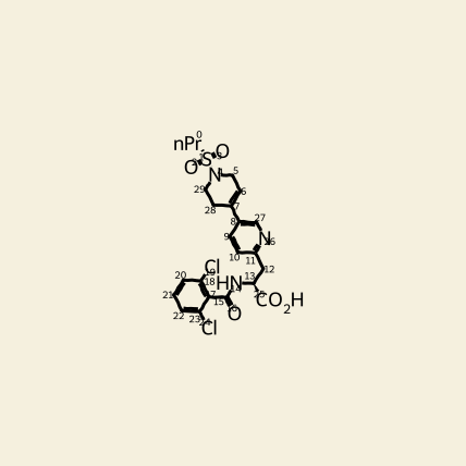 CCCS(=O)(=O)N1CC=C(c2ccc(C[C@H](NC(=O)c3c(Cl)cccc3Cl)C(=O)O)nc2)CC1